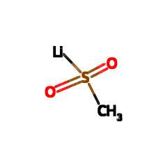 [Li][S](C)(=O)=O